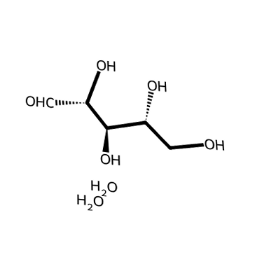 O.O.O=C[C@H](O)[C@H](O)[C@H](O)CO